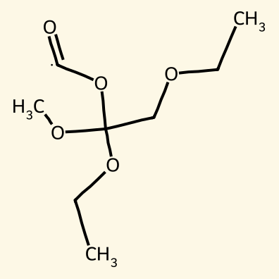 CCOCC(OC)(O[C]=O)OCC